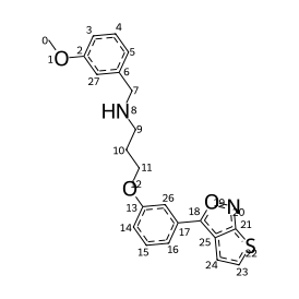 COc1cccc(CNCCCOc2cccc(-c3onc4sccc34)c2)c1